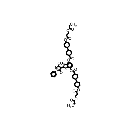 C=CC(=O)OCCC(=O)OC1CCC(C2CCC(C(=O)Oc3ccc(OC(=O)C4CCC(C5CCC(OC(=O)CCOC(=O)C=C)CC5)CC4)c4c3SC(=C3C(=O)N(c5ccccc5)N=C3C(=O)OCC)S4)CC2)CC1